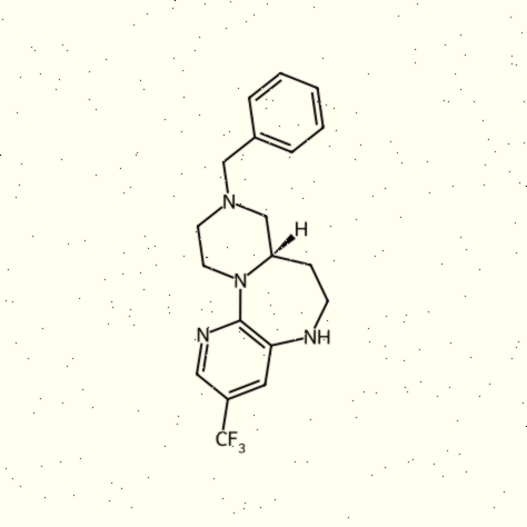 FC(F)(F)c1cnc2c(c1)NCC[C@H]1CN(Cc3ccccc3)CCN21